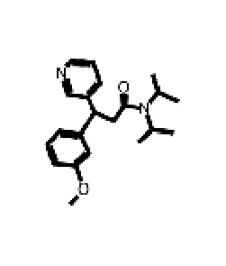 COc1cccc(C(CC(=O)N(C(C)C)C(C)C)c2cccnc2)c1